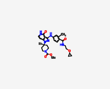 CCC1(n2nc(Nc3ccc(C(=O)NCCOC4CC4)c(C)c3)c3c(=O)[nH]ccc32)CCN(C(=O)OC(C)(C)C)CC1